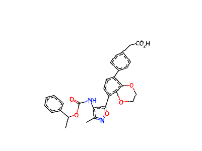 Cc1noc(-c2ccc(-c3ccc(CC(=O)O)cc3)c3c2OCCO3)c1NC(=O)OC(C)c1ccccc1